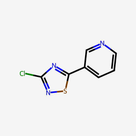 Clc1nsc(-c2cccnc2)n1